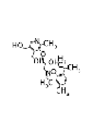 CCN(CC(O)COc1c(C)ncc(CO)c1CO)Oc1cc(C)ccc1C(C)C